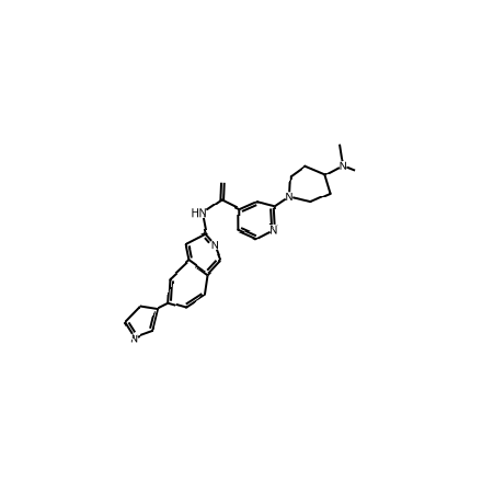 C=C(Nc1cc2cc(C3=CN=CC3)ccc2cn1)c1ccnc(N2CCC(N(C)C)CC2)c1